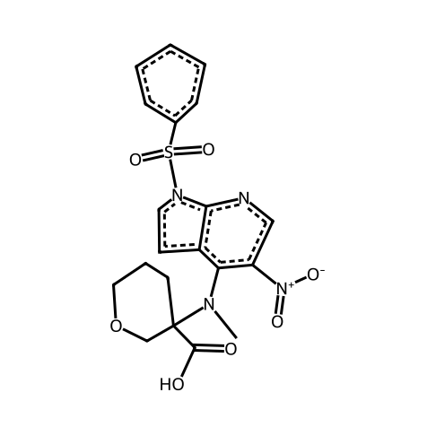 CN(c1c([N+](=O)[O-])cnc2c1ccn2S(=O)(=O)c1ccccc1)C1(C(=O)O)CCCOC1